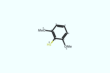 COc1cccc(OC)c1S